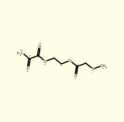 CSCC(=O)OCCOC(=O)C(C)=O